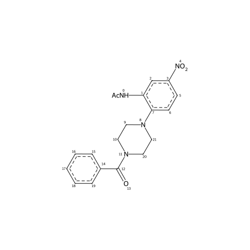 CC(=O)Nc1cc([N+](=O)[O-])ccc1N1CCN(C(=O)c2ccccc2)CC1